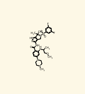 COCC(C)Nc1cc(N2CCN(C)CC2)ccc1C(=O)Nc1n[nH]c2c1CN(S(=O)(=O)c1cc(F)cc(F)c1)C2(C)C